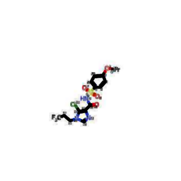 CC(C)Oc1ccc(S(=O)(=O)NC(=O)c2ncn(CCC(F)(F)F)c2Cl)cc1